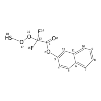 O=C(Oc1ccc2ccccc2c1)C(F)(F)OOS